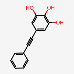 Oc1cc(C#Cc2ccccc2)cc(O)c1O